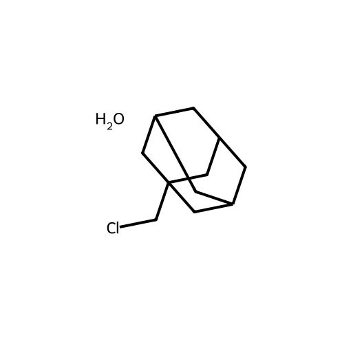 ClCC12CC3CC(CC(C3)C1)C2.O